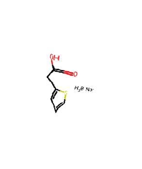 B.O=C(O)Cc1cccs1.[Na]